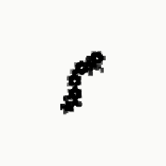 O=C(c1ccc(N2CCC(CC3CCN(C(=O)C(O)(c4ccccc4)C(F)(F)F)CC3)CC2)cc1Cl)N1CC(F)(F)C1